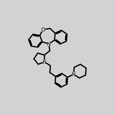 c1cc(CCN2CCCC2CN2c3ccccc3COc3ccccc32)cc(N2CCCCC2)c1